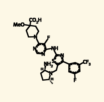 COC1(C(=O)O)CCN(c2ncnc(Nc3nc(-c4cc(F)cc(C(F)(F)F)c4)c(CN4[C@H](C)CC[C@H]4N)s3)c2F)CC1